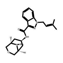 CCCCN1[C@@H]2COC[C@H]1C[C@@H](NC(=O)c1nn(CC=C(C)C)c3ccccc13)C2